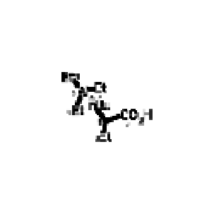 CCCCC(CC)C(=O)O.C[CH2][Al]([CH2]C)[CH2]C